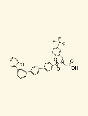 O=C(O)CN(Cc1cccc(C(F)(F)F)c1)S(=O)(=O)c1ccc(-c2ccc(-c3cccc4c3oc3ccccc34)cc2)cc1